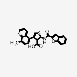 Cc1ccc(C2=CSC(NC(=O)c3cc4ccccc4o3)C2C(=O)O)c2cccnc12